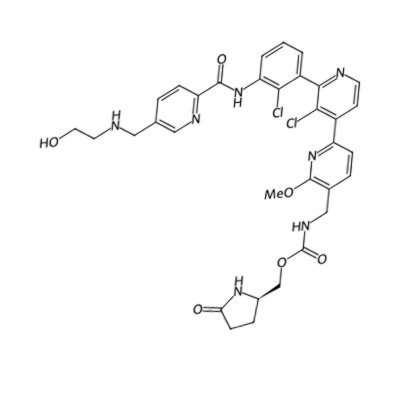 COc1nc(-c2ccnc(-c3cccc(NC(=O)c4ccc(CNCCO)cn4)c3Cl)c2Cl)ccc1CNC(=O)OC[C@H]1CCC(=O)N1